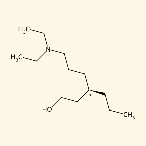 CCC[C@@H](CCO)CCCN(CC)CC